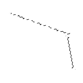 NOCCNC(=O)CCC(=O)NCCOCCOCCC(=O)NCCOCCOCCC(=O)NCCCC[C@H](NC(=O)CCCCCCCCCCCCCCCCC(=O)O)C(=O)O